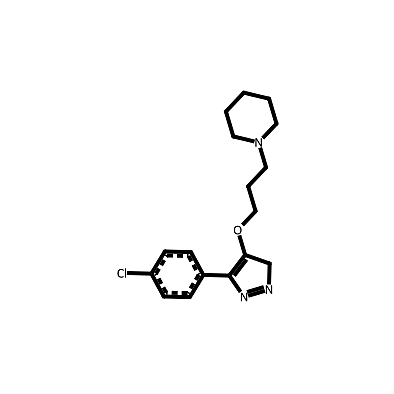 Clc1ccc(C2=C(OCCCN3CCCCC3)CN=N2)cc1